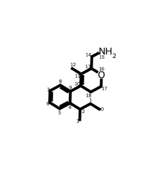 CCC(C)c1ccccc1C1=C(C)C(CN)OCC1